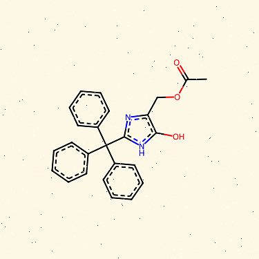 CC(=O)OCc1nc(C(c2ccccc2)(c2ccccc2)c2ccccc2)[nH]c1O